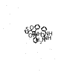 NNC(=O)Nc1ccccc1.O=C(c1cccs1)c1c(-c2ccccc2)[nH]n(-c2ccccc2)c1=O